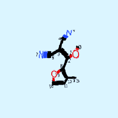 COC(=C(C#N)C#N)c1occc1C